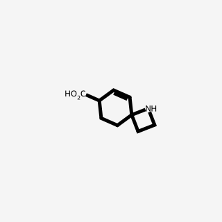 O=C(O)C1C=CC2(CCN2)CC1